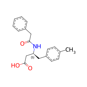 Cc1ccc(C[C@@H](CC(=O)O)NC(=O)Cc2ccccc2)cc1